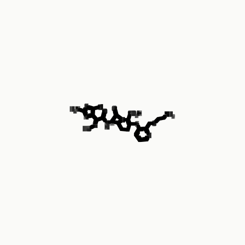 NCCSCc1ncccc1SC1=C(C(=O)O)N2C(=O)[C@H](NC(=O)C(=NO)c3nc(N)sc3Cl)C2CC1